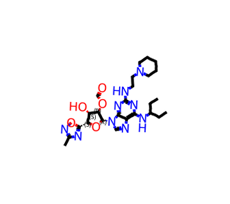 CCC(CC)Nc1nc(NCCN2CCCCC2)nc2c1ncn2[C@@H]1O[C@H](c2nc(C)no2)[C@@H](O)[C@H]1OC=O